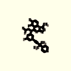 Cc1nnc2nc(N(CC(F)F)c3cc(F)cc(C#CC(C)(C)c4ccncc4)c3)c3c(F)c(F)ccc3n12